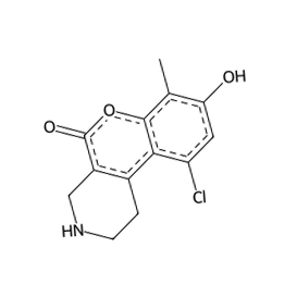 Cc1c(O)cc(Cl)c2c3c(c(=O)oc12)CNCC3